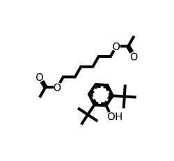 CC(=O)OCCCCCCOC(C)=O.CC(C)(C)c1cccc(C(C)(C)C)c1O